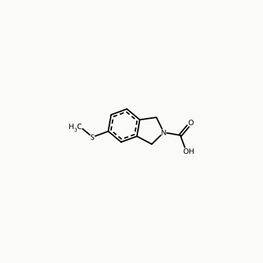 CSc1ccc2c(c1)CN(C(=O)O)C2